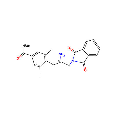 CNC(=O)c1cc(C)c(C[C@H](N)CN2C(=O)c3ccccc3C2=O)c(C)c1